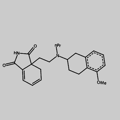 CCCN(CCC12CC=CC=C1C(=O)NC2=O)C1CCc2c(cccc2OC)C1